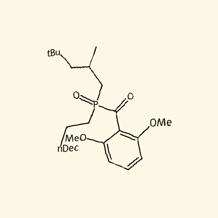 CCCCCCCCCCCCP(=O)(CC(C)CC(C)(C)C)C(=O)c1c(OC)cccc1OC